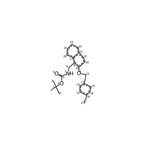 CC(C)(C)OC(=O)NCc1c(OCc2ccc(F)cc2)ccc2ccccc12